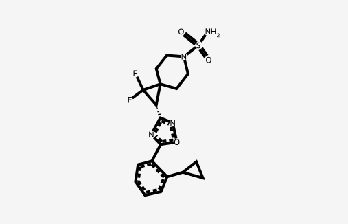 NS(=O)(=O)N1CCC2(CC1)[C@H](c1noc(-c3ccccc3C3CC3)n1)C2(F)F